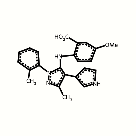 COc1ccc(Nc2c(-c3cc[nH]c3)c(C)nn2-c2ccccc2C)c(C(=O)O)c1